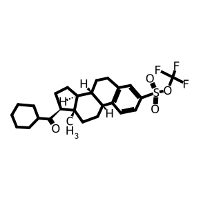 C[C@]12CC[C@@H]3c4ccc(S(=O)(=O)OC(F)(F)F)cc4CC[C@H]3[C@@H]1CC[C@@H]2C(=O)C1CCCCC1